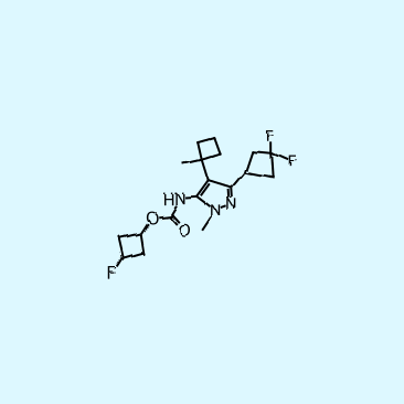 Cn1nc(C2CC(F)(F)C2)c(C2(C)CCC2)c1NC(=O)OC1CC(F)C1